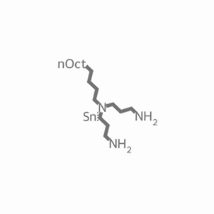 CCCCCCCCCCCCN(CCCN)CCCN.[Sn]